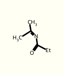 CCC(=O)N=C(C)C